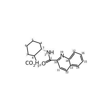 O=C(N[C@H]1CCCCC1C(=O)O)c1ccc2ccccc2n1